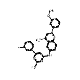 COc1cccc(-c2cc(N)c3cc(Nc4cc(-c5cccc(F)c5)nc(N)n4)ccc3n2)c1